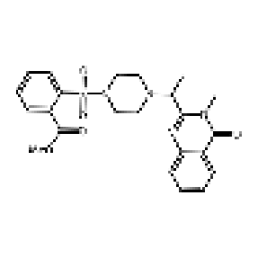 COC(=O)c1ccccc1S(=O)(=O)N1CCN(C(C)c2nc3ccccc3c(=O)n2C)CC1